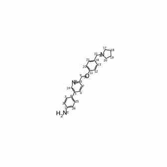 Nc1ccc(-c2ccc(COc3ccc(CN4CCCC4)cc3)nc2)cc1